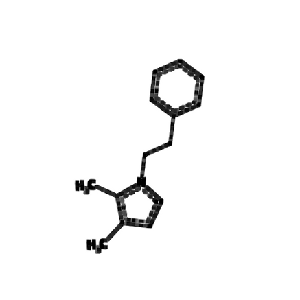 Cc1ccn(CCc2ccccc2)c1C